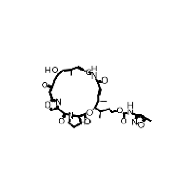 CC1=C\[C@@H](O)CC(=O)Cc2nc(co2)C(=O)N2CCC[C@@H]2C(=O)O[C@H]([C@H](C)CCOC(=O)Nc2cc(C)on2)[C@H](C)/C=C/C(=O)NC\C=C\1